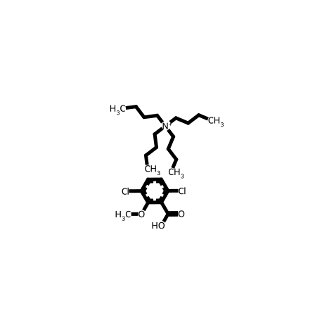 CCCC[N+](CCCC)(CCCC)CCCC.COc1c(Cl)ccc(Cl)c1C(=O)O